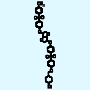 CCC1CCC(COc2ccc(S(=O)(=O)c3ccc(OC4COC5C(Oc6ccc(S(=O)(=O)c7ccc(C)cc7)cc6)COC45)cc3)cc2)CC1